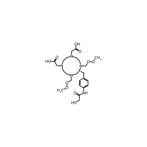 COOCN1CCN(CC(=O)O)CCN(CC(=O)O)CCN(COOC)[C@@H](Cc2ccc(NC(=O)CS)cc2)C1